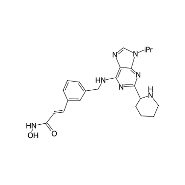 CC(C)n1cnc2c(NCc3cccc(/C=C/C(=O)NO)c3)nc(C3CCCCN3)nc21